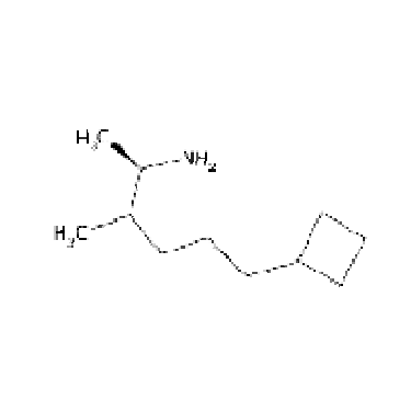 CC(CCCC1CCC1)[C@@H](C)N